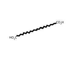 O=C(O)CCCCCCCC/C=C/C/C=C/CCCCCCCCCCCC(=O)O